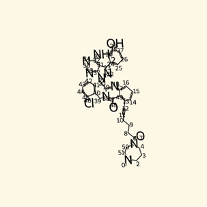 CN1CCCN(C(=O)CCCC#Cc2cccc3nc(Cn4nc(-c5cccc(O)c5)c5c(N)ncnc54)n(Cc4ccccc4Cl)c(=O)c23)CC1